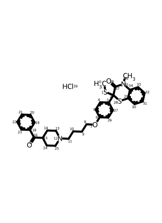 CSC1(c2ccc(OCCCCN3CCC(C(=O)c4ccccc4)CC3)cc2)Sc2ccccc2N(C)C1=O.Cl